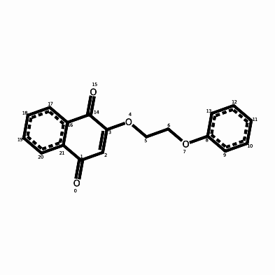 O=C1C=C(OCCOc2ccccc2)C(=O)c2ccccc21